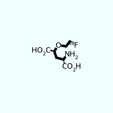 N[C@@H](C[C@H](OCC[18F])C(=O)O)C(=O)O